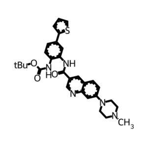 CN1CCN(c2ccc3cc(C(=O)Nc4cc(-c5cccs5)ccc4NC(=O)OC(C)(C)C)cnc3c2)CC1